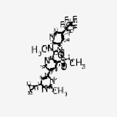 CCS(=O)(=O)c1cc(-c2cc(C3CC3)nc(C)n2)cnc1-c1nc2cc(C(F)(F)C(F)(F)F)cnc2n1C